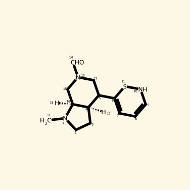 CN1CC[C@@H]2C(C3=CC=CNS3)CN(C=O)C[C@@H]21